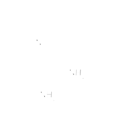 Nc1ccnc(C2=CCC=C2)c1N